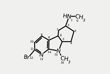 CNC1CCC2C(C1)c1ccc(Br)nc1N2C